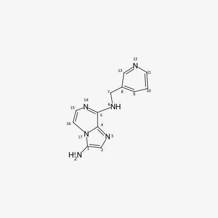 Nc1cnc2c(NCc3cccnc3)nccn12